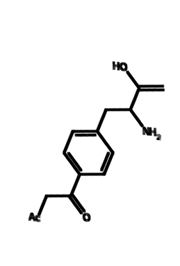 C=C(O)C(N)Cc1ccc(C(=O)CC(C)=O)cc1